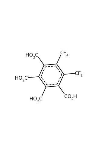 O=C(O)c1c(C(=O)O)c(C(=O)O)c(C(F)(F)F)c(C(F)(F)F)c1C(=O)O